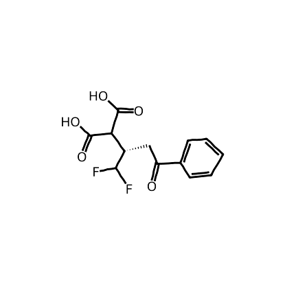 O=C(C[C@H](C(F)F)C(C(=O)O)C(=O)O)c1ccccc1